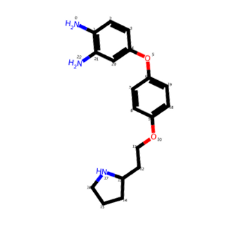 Nc1ccc(Oc2ccc(OCCC3CCCN3)cc2)cc1N